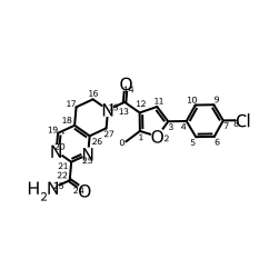 Cc1oc(-c2ccc(Cl)cc2)cc1C(=O)N1CCc2[c]nc(C(N)=O)nc2C1